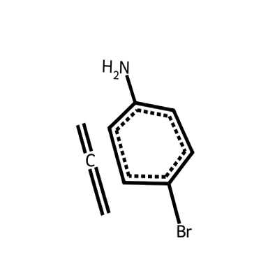 C=C=C.Nc1ccc(Br)cc1